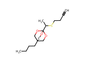 C#CCCSC(C)C12OCC(CCCC)(CO1)CO2